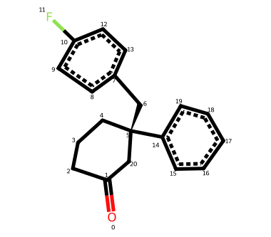 O=C1CCC[C@](Cc2ccc(F)cc2)(c2ccccc2)C1